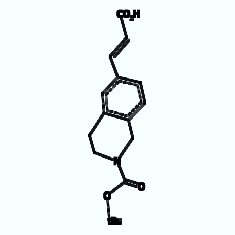 CC(C)(C)OC(=O)N1CCc2cc(/C=C/C(=O)O)ccc2C1